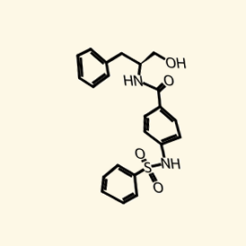 O=C(N[C@H](CO)Cc1ccccc1)c1ccc(NS(=O)(=O)c2ccccc2)cc1